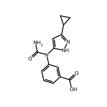 NC(=O)N(c1cccc(C(=O)O)c1)c1cc(C2CC2)n[nH]1